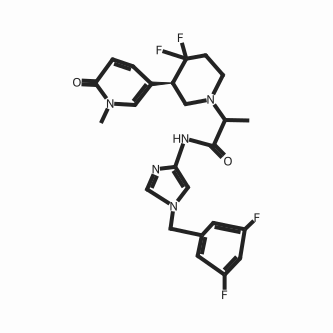 CC(C(=O)Nc1cn(Cc2cc(F)cc(F)c2)cn1)N1CCC(F)(F)[C@H](c2ccc(=O)n(C)c2)C1